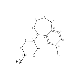 CN1CCN(C2CCCSc3ccc(F)cc32)CC1